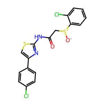 O=C(C[S+]([O-])c1ccccc1Cl)Nc1nc(-c2ccc(Cl)cc2)cs1